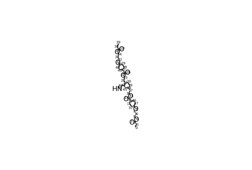 C=CC(=O)OCCCOc1ccc(C(=O)OCCc2ccc(CCOC(=O)c3ccc(OCCCOC(=O)C=C)cc3)c(C=N)c2)cc1